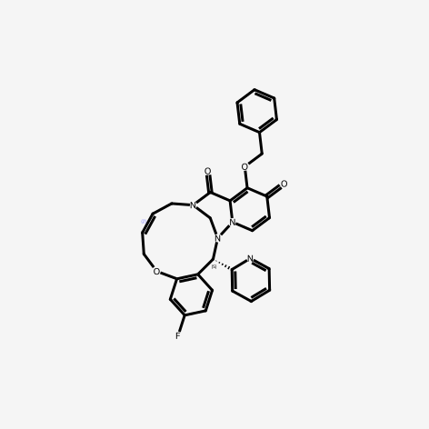 O=C1c2c(OCc3ccccc3)c(=O)ccn2N2CN1C/C=C\COc1cc(F)ccc1[C@H]2c1ccccn1